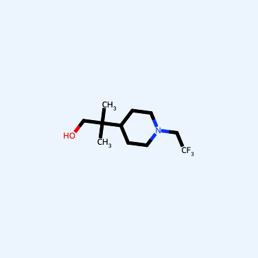 CC(C)(CO)C1CCN(CC(F)(F)F)CC1